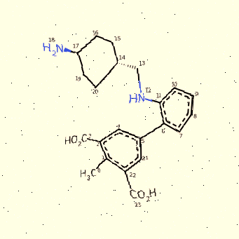 Cc1c(C(=O)O)cc(-c2ccccc2NC[C@H]2CC[C@H](N)CC2)cc1C(=O)O